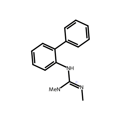 C/N=C(\NC)Nc1ccccc1-c1ccccc1